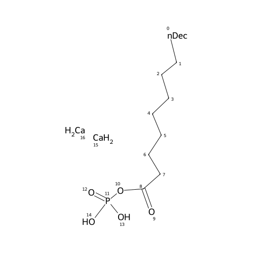 CCCCCCCCCCCCCCCCCC(=O)OP(=O)(O)O.[CaH2].[CaH2]